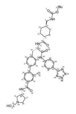 CC(C)(C)OC(=O)NC[C@H]1CC[C@H](C(=O)N[C@@H](Cc2ccc(-c3ccc(C(=O)N[C@@H]4CCN(C(=O)O)C4)cc3Cl)cc2)C(=O)Nc2ccc(-c3nn[nH]n3)cc2)CC1